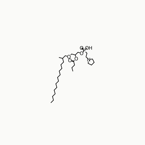 CCCCCCCCCCCCCCC(C)COCC(COP(=O)(O)CCN1CCCC1)OC(=O)CCC